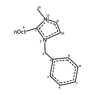 CCCCCCCCc1n(Cc2ccccc2)cc[n+]1C